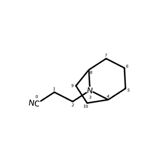 N#CCCN1C2CCCC1CC2